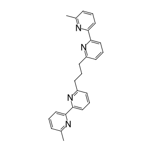 Cc1cccc(-c2cccc(CCCc3cccc(-c4cccc(C)n4)n3)n2)n1